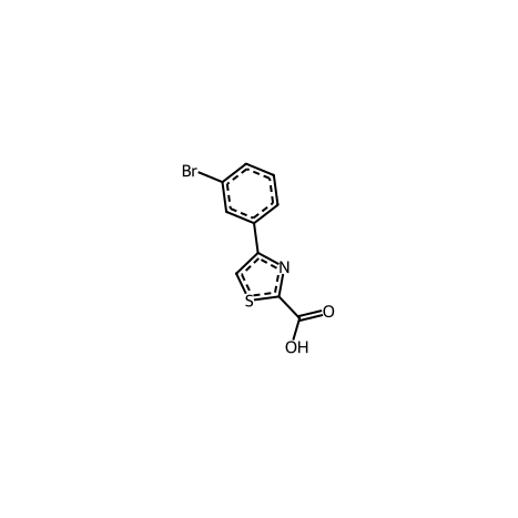 O=C(O)c1nc(-c2cccc(Br)c2)cs1